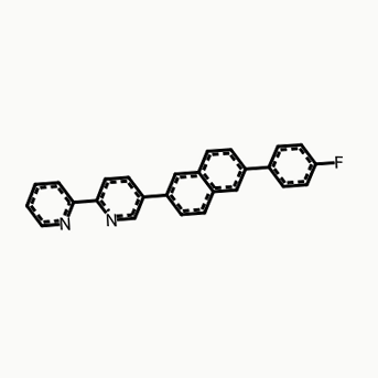 Fc1ccc(-c2ccc3cc(-c4ccc(-c5ccccn5)nc4)ccc3c2)cc1